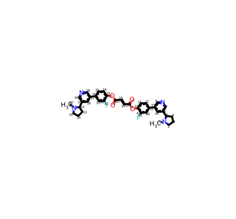 CN1CCCC1c1cncc(-c2ccc(OC(=O)/C=C/C(=O)Oc3ccc(-c4cncc(C5CCCN5C)c4)cc3F)c(F)c2)c1